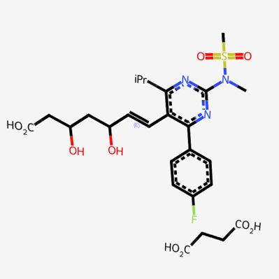 CC(C)c1nc(N(C)S(C)(=O)=O)nc(-c2ccc(F)cc2)c1/C=C/C(O)CC(O)CC(=O)O.O=C(O)CCC(=O)O